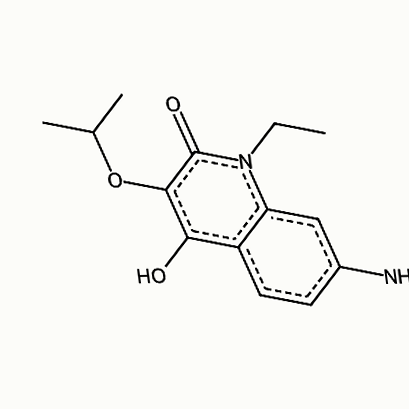 CCn1c(=O)c(OC(C)C)c(O)c2ccc(N)cc21